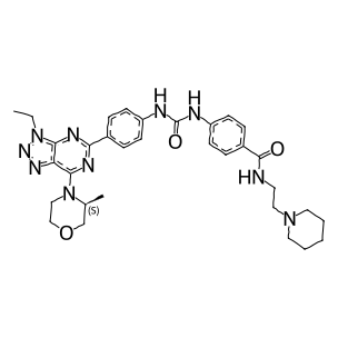 CCn1nnc2c(N3CCOC[C@@H]3C)nc(-c3ccc(NC(=O)Nc4ccc(C(=O)NCCN5CCCCC5)cc4)cc3)nc21